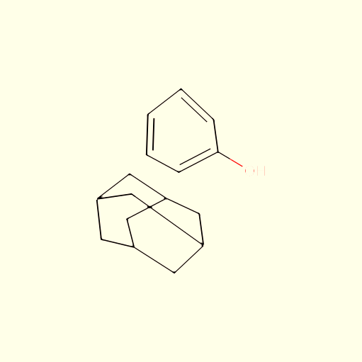 C1C2CC3CC1CC(C2)C3.Oc1ccccc1